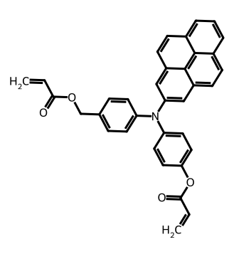 C=CC(=O)OCc1ccc(N(c2ccc(OC(=O)C=C)cc2)c2cc3ccc4cccc5ccc(c2)c3c45)cc1